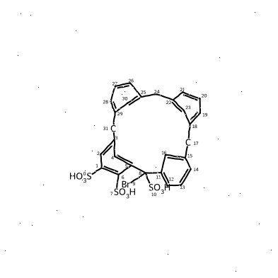 O=S(=O)(O)c1cc2cc(c1S(=O)(=O)O)C(Br)(S(=O)(=O)O)c1cccc(c1)Cc1cccc(c1)Cc1cccc(c1)C2